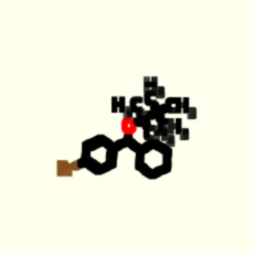 CC(C)(C)[Si](C)(C)OC(c1ccc(Br)cc1)C1CCCCC1